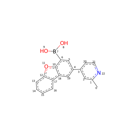 Cc1cc(-c2cc(B(O)O)c3oc4ccccc4c3c2)ccn1